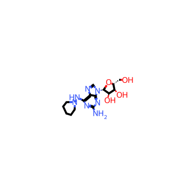 Nc1nc(NN2CCCCC2)c2ncn([C@@H]3O[C@H](CO)[C@@H](O)[C@H]3O)c2n1